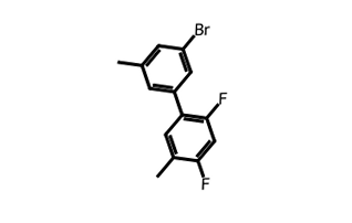 Cc1cc(Br)cc(-c2cc(C)c(F)cc2F)c1